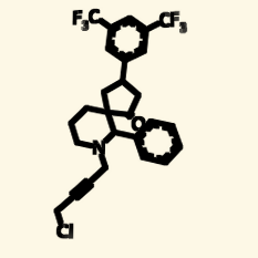 O=C1CC(c2cc(C(F)(F)F)cc(C(F)(F)F)c2)CC12CCCN(CC#CCCl)C2c1ccccc1